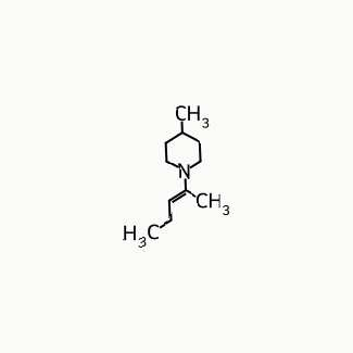 CC/C=C(\C)N1CCC(C)CC1